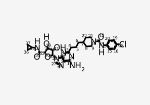 Nc1nc(CCCC2CCN(C(=O)Nc3ccc(Cl)cc3)CC2)nc2c1ncn2[C@@H]1O[C@H](C(=O)NC2CC2)C(O)[C@@H]1O